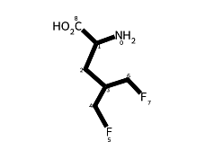 NC(CC(CF)CF)C(=O)O